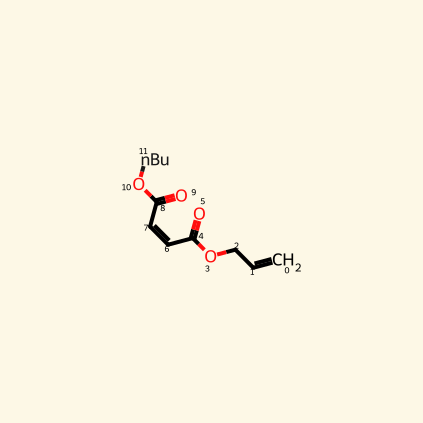 C=CCOC(=O)/C=C\C(=O)OCCCC